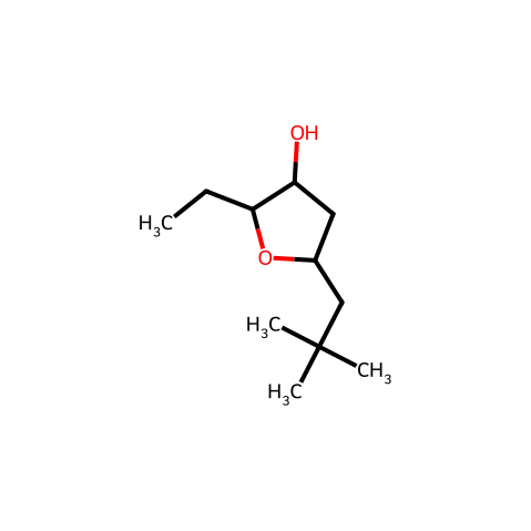 CCC1OC(CC(C)(C)C)CC1O